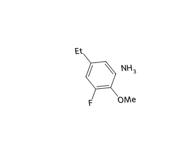 CCc1ccc(OC)c(F)c1.N